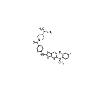 CN(c1ccc2nc(Nc3ccc(C(=O)N4CCC(N(C)C)CC4)cn3)sc2n1)c1ccc(F)cc1F